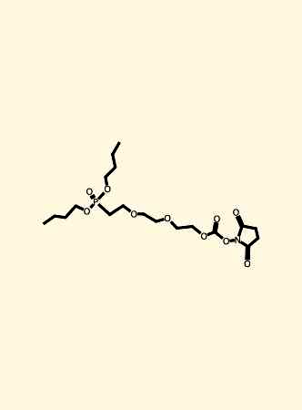 CCCCOP(=O)(CCOCCOCCOC(=O)ON1C(=O)CCC1=O)OCCCC